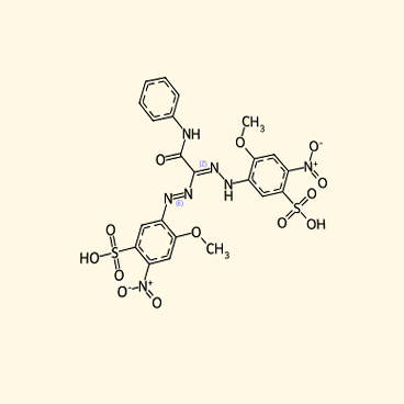 COc1cc([N+](=O)[O-])c(S(=O)(=O)O)cc1/N=N/C(=N\Nc1cc(S(=O)(=O)O)c([N+](=O)[O-])cc1OC)C(=O)Nc1ccccc1